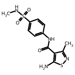 CNS(=O)(=O)c1ccc(NC(=O)c2c(C)nsc2N)cc1